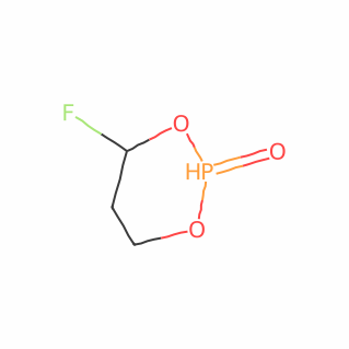 O=[PH]1OCCC(F)O1